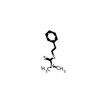 CN(C)C(=S)SCCc1ccccc1